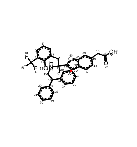 CC(Cc1cccc(C(F)(F)F)c1Cl)(NCC(c1ccccc1)c1ccccc1)c1cc2ccc(CC(=O)O)cc2o1